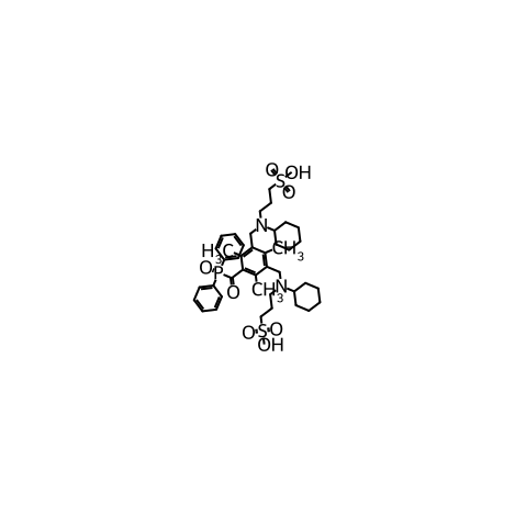 Cc1c(CN(CCCS(=O)(=O)O)C2CCCCC2)c(C)c(C(=O)P(=O)(c2ccccc2)c2ccccc2)c(C)c1CN(CCCS(=O)(=O)O)C1CCCCC1